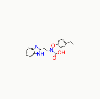 CCc1ccc(ON(CCc2nc3ccccc3[nH]2)C(=O)O)cc1